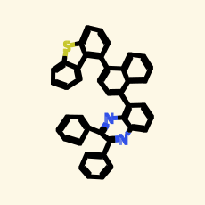 c1ccc(-c2nc3cccc(-c4ccc(-c5cccc6sc7ccccc7c56)c5ccccc45)c3nc2-c2ccccc2)cc1